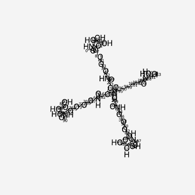 CC(=O)N[C@H]1[C@H](OCCOCCOCCOCCNC(=O)CCOCC(COCCC(=O)NCCOCCOCCOCCO[C@@H]2O[C@H](CO)[C@H](O)[C@H](O)[C@H]2NC(C)=O)(COCCC(=O)NCCOCCOCCOCCO[C@@H]2O[C@H](CO)[C@H](O)[C@H](O)[C@H]2NC(C)=O)NC(=O)CCCCCCCCCCC(=O)NCC(O)COI)O[C@H](CO)[C@H](O)[C@@H]1O